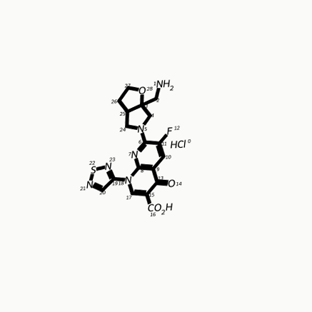 Cl.NCC12CN(c3nc4c(cc3F)c(=O)c(C(=O)O)cn4-c3cnsn3)CC1CCO2